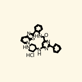 Cl.O=C(Nc1ccccc1-c1nc2cccnc2s1)c1cc(NC2CCNCC2)nc(-c2ccccc2)n1